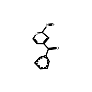 [N]=NC1C=C(C(=O)c2ccccc2)C=CO1